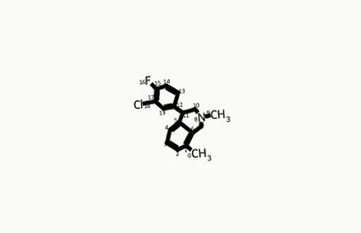 Cc1cccc2c1CN(C)CC2c1ccc(F)c(Cl)c1